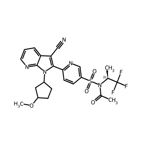 COC1CCC(n2c(-c3ccc(S(=O)(=O)N(C(C)=O)[C@@H](C)C(F)(F)F)cn3)c(C#N)c3cccnc32)C1